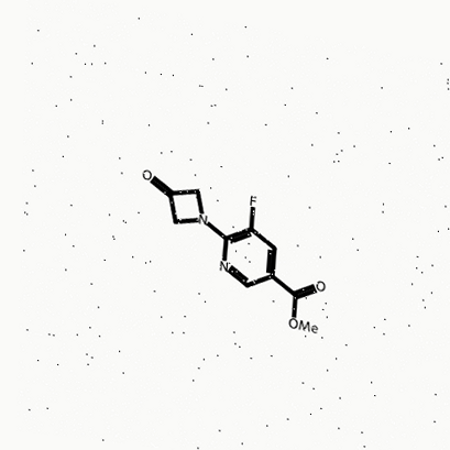 COC(=O)c1cnc(N2CC(=O)C2)c(F)c1